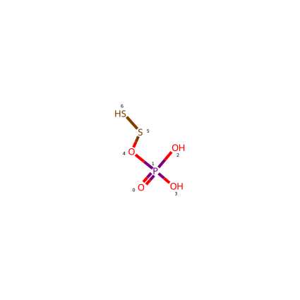 O=P(O)(O)OSS